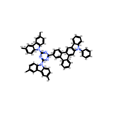 Cc1ccc2c(c1)c1cc(C)ccc1n2-c1nc(-c2ccc3c(c2)c2ccccc2c2cc4c(cc32)c2ccccc2n4-c2ccccc2)nc(-n2c3ccc(C)cc3c3cc(C)ccc32)n1